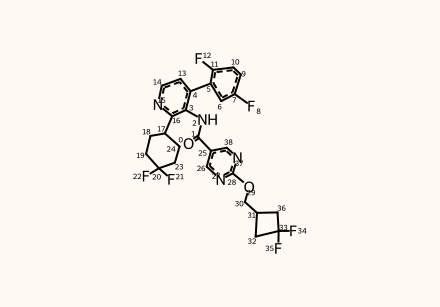 O=C(Nc1c(-c2cc(F)ccc2F)ccnc1C1CCC(F)(F)CC1)c1cnc(OCC2CC(F)(F)C2)nc1